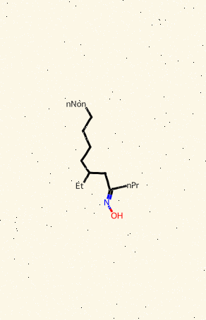 CCCCCCCCCCCCCC(CC)CC(CCC)=NO